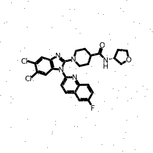 O=C(N[C@@H]1CCOC1)C1CCN(c2nc3cc(Cl)c(Cl)cc3n2-c2ccc3cc(F)ccc3n2)CC1